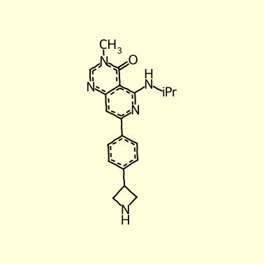 CC(C)Nc1nc(-c2ccc(C3CNC3)cc2)cc2ncn(C)c(=O)c12